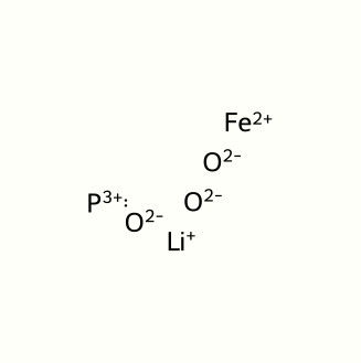 [Fe+2].[Li+].[O-2].[O-2].[O-2].[P+3]